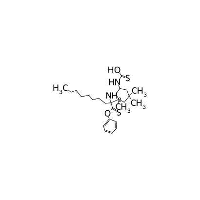 CCCCCCCCC(N)(C(=S)Oc1ccccc1)C1(C)CC(NC(O)=S)CC(C)(C)C1